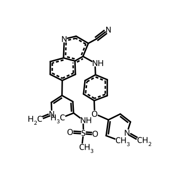 C=N/C=C\C(=C/C)Oc1ccc(Nc2c(C#N)cnc3ccc(C(/C=C(\C)NS(C)(=O)=O)=C/N=C)cc23)cc1